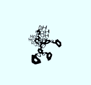 O=c1c(O[C@@H]2OC(CO[C@@H]3OC4[C@H](O)C4(O)C3O)[C@@H](O)C(O)C2O)c(-c2ccc(OCc3ccccc3)c(OCc3ccccc3)c2)oc2cc(OCc3ccccc3)cc(O)c12